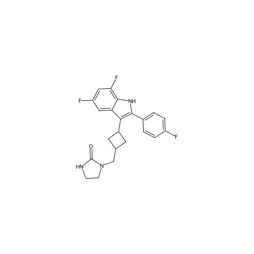 O=C1NCCN1CC1CC(c2c(-c3ccc(F)cc3)[nH]c3c(F)cc(F)cc23)C1